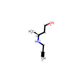 C#CCN[C@@H](C)CCO